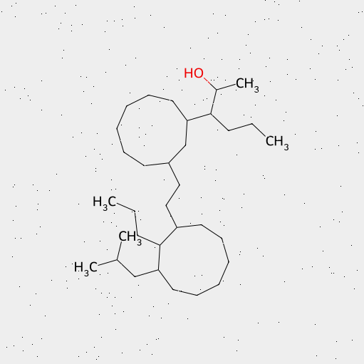 CCCC(C(C)O)C1CCCCCCC(CCC2CCCCCCC(CC(C)C)C2CCC)C1